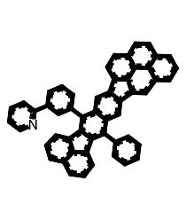 c1ccc(-c2c3cc4c(cc3c(-c3cccc(-c5ccccn5)c3)c3c5cccc6cccc(c23)c65)c2ccc3ccc5cccc6cc4c2c3c56)cc1